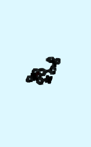 N#Cc1ccc(-c2cccc(-n3c4ccccc4c4ccccc43)c2)cc1-c1c(C#N)cccc1-n1c2ccccc2c2ccccc21